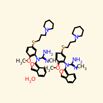 CN=C(N)N(c1cc(SCCCN2CCCCC2)ccc1OC)c1occ2ccccc12.CN=C(N)N(c1cc(SCCCN2CCCCC2)ccc1OC)c1occ2ccccc12.O